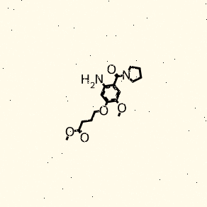 COC(=O)CCCOc1cc(N)c(C(=O)N2CCCC2)cc1OC